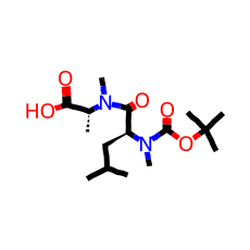 CC(C)C[C@@H](C(=O)N(C)[C@H](C)C(=O)O)N(C)C(=O)OC(C)(C)C